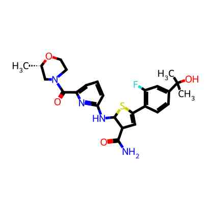 C[C@H]1CN(C(=O)c2cccc(NC3SC(c4ccc(C(C)(C)O)cc4F)=CC3C(N)=O)n2)CCO1